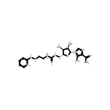 NC(=O)c1ncn([C@@H]2O[C@H](COC(=O)NCCSSc3ccccn3)[C@@H](O)[C@H]2O)c1N